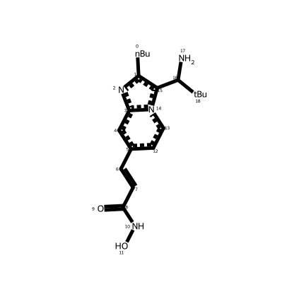 CCCCc1nc2cc(/C=C/C(=O)NO)ccn2c1C(N)C(C)(C)C